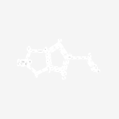 O=Cc1cc2c(s1)CNC2